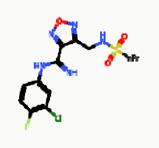 CCCS(=O)(=O)NCc1nonc1C(=N)Nc1ccc(F)c(Cl)c1